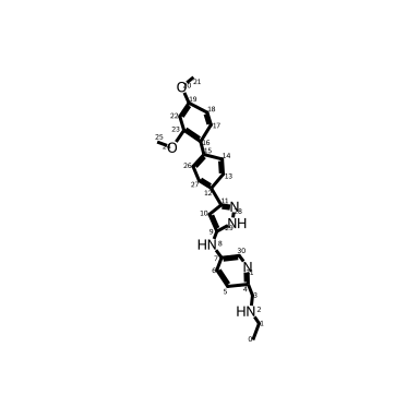 CCNCc1ccc(Nc2cc(-c3ccc(-c4ccc(OC)cc4OC)cc3)n[nH]2)cn1